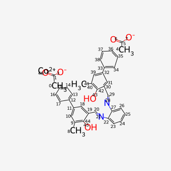 CC(=O)[O-].CC(=O)[O-].Cc1cc(-c2ccccc2)cc(C=Nc2ccccc2N=Cc2cc(-c3ccccc3)cc(C)c2O)c1O.[Co+2]